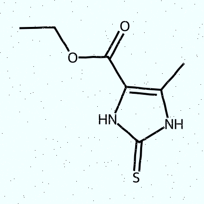 CCOC(=O)c1[nH]c(=S)[nH]c1C